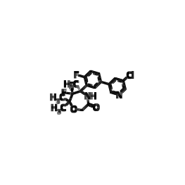 CC1(C)OCC(=O)N[C@](C)(c2cc(-c3cncc(Cl)c3)ccc2F)C1(F)F